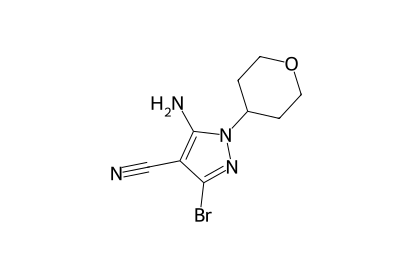 N#Cc1c(Br)nn(C2CCOCC2)c1N